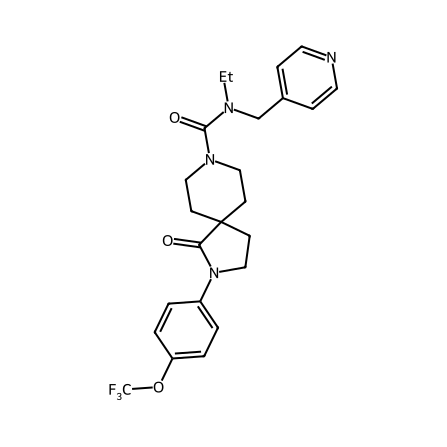 CCN(Cc1ccncc1)C(=O)N1CCC2(CC1)CCN(c1ccc(OC(F)(F)F)cc1)C2=O